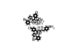 CC(C)(C)N(C(=O)O)[C@H](C(=O)N1CCCN1c1ccccc1Br)c1ccc(Cl)cc1.Nc1ccc(CNC(=O)N[C@H](C(=O)N2CCCN2c2ccccc2Br)c2ccc(Cl)cc2)cc1